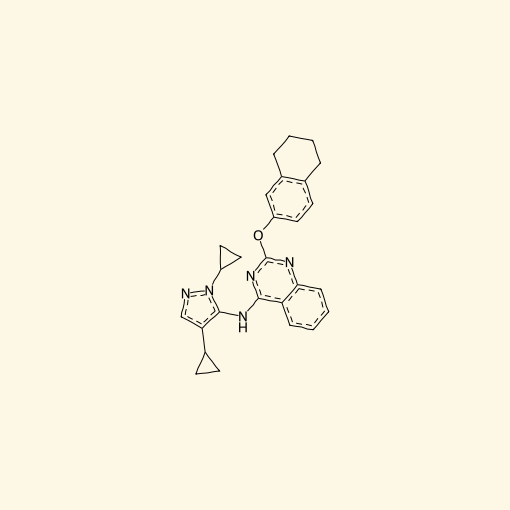 c1ccc2c(Nc3c(C4CC4)cnn3C3CC3)nc(Oc3ccc4c(c3)CCCC4)nc2c1